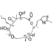 CC=CC[C@H]1C(=O)C(C)(C)[C@@H](O)CC(=O)O[C@H](C(C)=Cc2csc(C)n2)C[C@@H]2O[C@]2(C)CCO[C@H](C)[C@H]1O